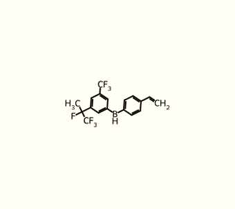 C=Cc1ccc(Bc2cc(C(F)(F)F)cc(C(C)(F)C(F)(F)F)c2)cc1